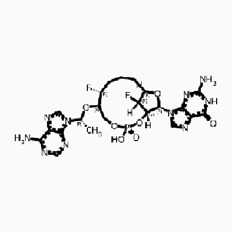 C[C@@H](O[C@@H]1COP(=O)(O)O[C@@H]2[C@H](F)[C@@H](CCC[C@H]1F)O[C@H]2n1cnc2c(=O)[nH]c(N)nc21)n1cnc2c(N)ncnc21